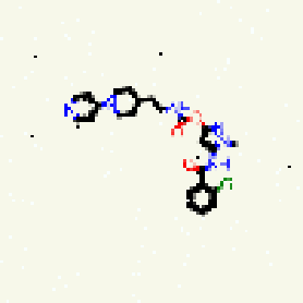 Cn1nc(OC(=O)NCCC2CCN(c3ccncc3)CC2)cc1NC(=O)c1ccccc1Cl